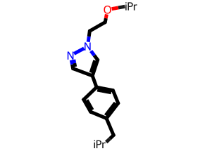 CC(C)Cc1ccc(-c2cnn(CCOC(C)C)c2)cc1